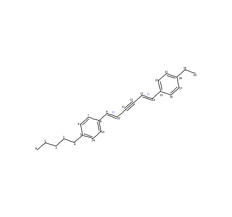 CCCCCc1ccc(/C=C/C#C/C=C/c2ccc(CC)cc2)cc1